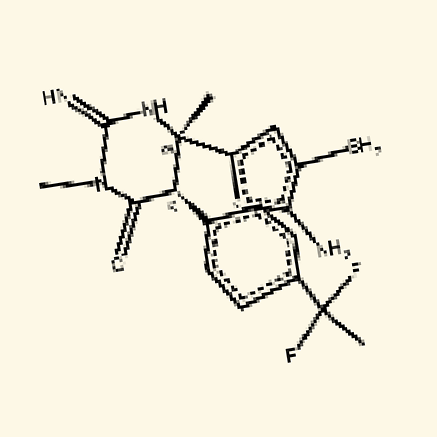 Bc1cc([C@@]2(C)NC(=N)N(C)C(=O)[C@@H]2c2ccc(C(C)(F)F)cc2)sc1N